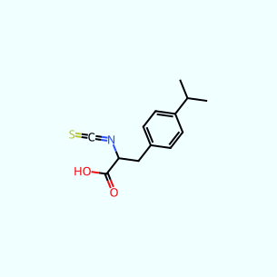 CC(C)c1ccc(CC(N=C=S)C(=O)O)cc1